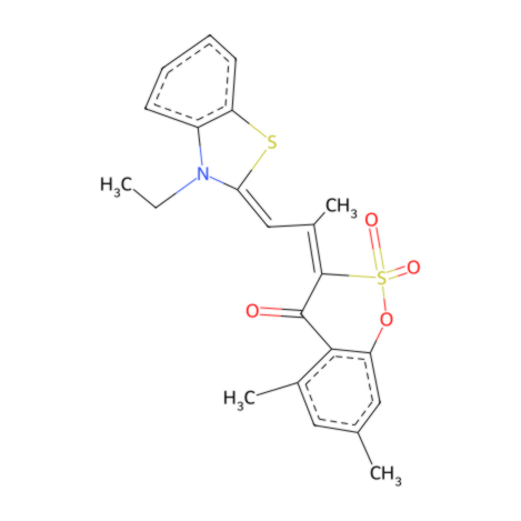 CCN1C(=CC(C)=C2C(=O)c3c(C)cc(C)cc3OS2(=O)=O)Sc2ccccc21